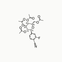 CC(=O)OC[C@H]1O[C@@H](c2ccc(C#N)c(F)c2)[C@H](OC(C)=O)[C@@H](OC(C)=O)[C@@H]1OC(C)=O